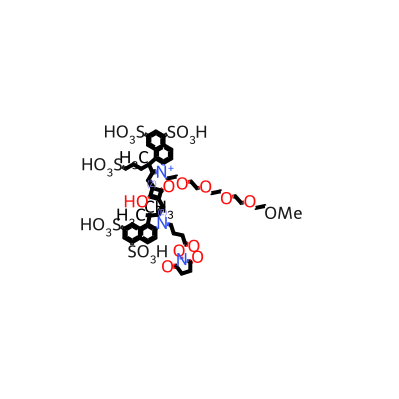 COCCOCCOCCOCCOCC[N+]1=C(/C=C2\C(=O)C(/C=C3/N(CCCC(=O)ON4C(=O)CCC4=O)c4ccc5c(S(=O)(=O)O)cc(S(=O)(=O)O)cc5c4C3(C)C)=C2O)C(C)(CCCS(=O)(=O)O)c2c1ccc1c(S(=O)(=O)O)cc(S(=O)(=O)O)cc21